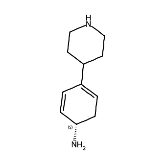 N[C@@H]1C=CC(C2CCNCC2)=CC1